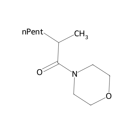 CCCCCC(C)C(=O)N1CCOCC1